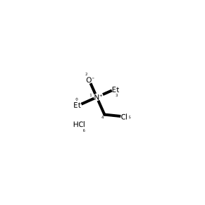 CC[N+]([O-])(CC)CCl.Cl